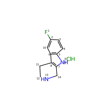 Cl.Fc1ccc2[nH]c3c(c2c1)CCNC3